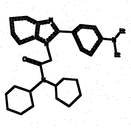 CCN(CC)c1ccc(-c2nc3ccccc3n2CC(=O)N(C2CCCCC2)C2CCCCC2)cc1